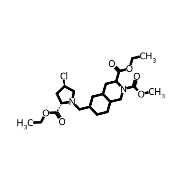 CCOC(=O)C1CC2CC(CN3C[C@H](Cl)C[C@H]3C(=O)OCC)CCC2CN1C(=O)OC